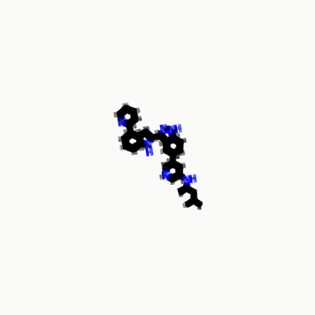 C=C(CC(C)C)Nc1cncc(-c2ccc3[nH]nc(-c4cc5c(-c6ccccn6)cccc5[nH]4)c3c2)c1